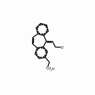 O=C(O)Cc1ccc2c(c1)C(=CCCl)c1ccccc1C=C2